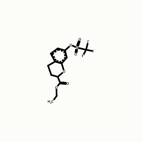 CCOC(=O)C1CCc2ccc(OS(=O)(=O)C(F)(F)F)cc2O1